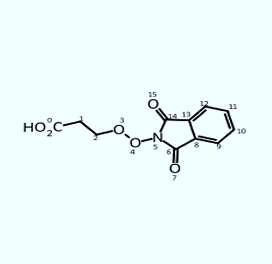 O=C(O)CCOON1C(=O)c2ccccc2C1=O